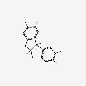 Fc1cc2c(cc1F)C1(Cl)c3cc(F)c(F)cc3CC1(Cl)C2